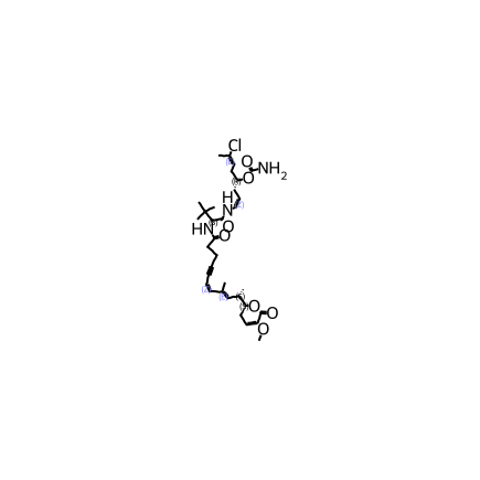 COC1=CC[C@@H]([C@@H](C)/C=C(C)/C=C\C#CCCC(=O)N[C@H](C(=O)N/C=C\C[C@H](C/C=C(\C)Cl)OC(N)=O)C(C)(C)C)OC1=O